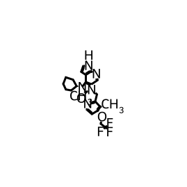 Cc1c(OCC(F)(F)F)ccnc1Cn1c(=O)n([C@H]2CCCC[C@H]2C)c2c3cc[nH]c3ncc21